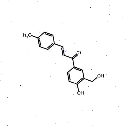 Cc1ccc(/C=C/C(=O)c2ccc(O)c(CO)c2)cc1